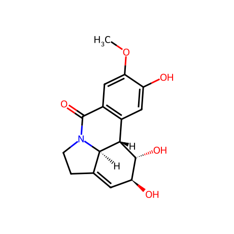 COc1cc2c(cc1O)[C@@H]1[C@H](O)[C@@H](O)C=C3CCN(C2=O)[C@H]31